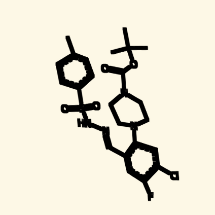 Cc1ccc(S(=O)(=O)N/N=C/c2cc(F)c(Cl)cc2N2CCN(C(=O)OC(C)(C)C)CC2)cc1